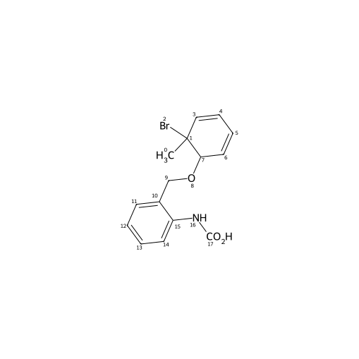 CC1(Br)C=CC=CC1OCc1ccccc1NC(=O)O